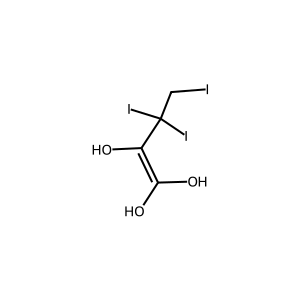 OC(O)=C(O)C(I)(I)CI